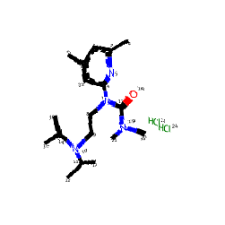 Cc1cc(C)nc(N(CCN(C(C)C)C(C)C)C(=O)N(C)C)c1.Cl.Cl